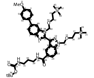 COc1ccc(-c2ccc3nc(-c4nn(COCC[Si](C)(C)C)c5ccc(C(=O)NCCCNC(=O)OC(C)(C)C)cc45)n(COCC[Si](C)(C)C)c3c2)cc1